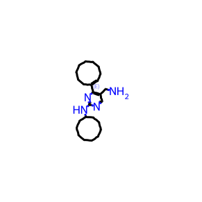 NCc1cnc(NC2CCCCCCCCC2)nc1/C1=C/CCCCCCCC1